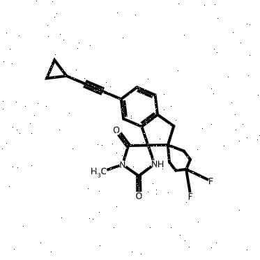 CN1C(=O)NC2(C1=O)c1cc(C#CC3CC3)ccc1CC21CCC(F)(F)CC1